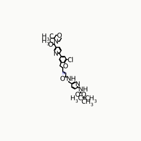 CC(C)(C)OC(=O)Nc1ccc(CNC(=O)/C=C/C2Cc3cc(-c4ccc(C(=O)N5CCOCC5(C)C)cn4)cc(Cl)c3O2)cn1